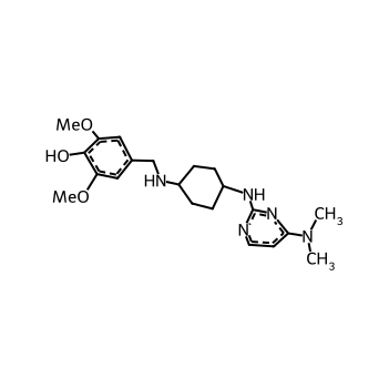 COc1cc(CNC2CCC(Nc3nccc(N(C)C)n3)CC2)cc(OC)c1O